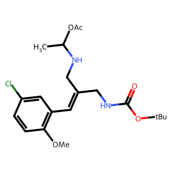 COc1ccc(Cl)cc1/C=C(/CNC(=O)OC(C)(C)C)CNC(C)OC(C)=O